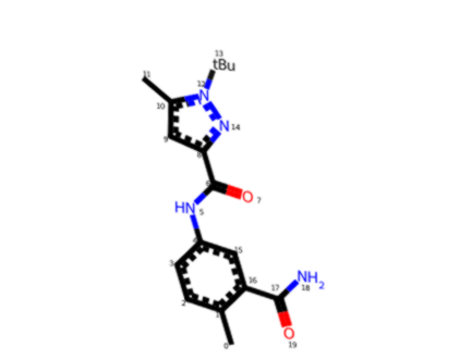 Cc1ccc(NC(=O)c2cc(C)n(C(C)(C)C)n2)cc1C(N)=O